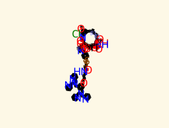 COc1cc2cc(c1Cl)N(C)C(=O)C[C@H](OC(=O)[C@@H](C)N(C)C(=O)c1ccc(SSCCC(=O)NCCCCOc3cc(CN(Cc4ccccn4)Cc4ccccn4)cc(CN(Cc4ccccn4)Cc4ccccn4)c3)cc1)[C@@]1(C)OCC1(C)[C@H]1C[C@](O)(NC(=O)O1)[C@@H](OC)/C=C/C=C(\C)C2